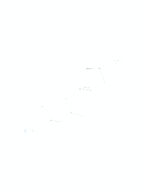 CCCCCC1=CCC(C2=CCC(OC)C=C2)C(F)=C1